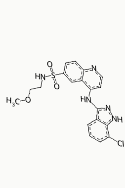 COCCNS(=O)(=O)c1ccc2nccc(Nc3n[nH]c4c(Cl)cccc34)c2c1